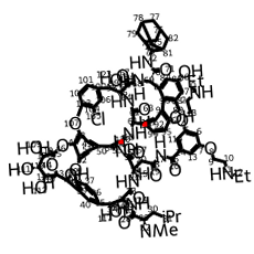 CCNCCOc1cc(OCCNCC)cc(C(=O)NC(=O)C[C@@H]2NC(=O)[C@H](NC(=O)[C@@H](CC(C)C)NC)[C@H](O)c3ccc4c(c3)C(O)[C@H]3O[C@@H](Oc5c6cc(cc5O4)[C@@H](NC2=O)C(=O)N[C@H]2C(=O)N[C@H](C(=O)N[C@H](C(=O)NC4C5CC7CC(C5)CC4C7)c4cc(O)cc(C)c4-c4cc2ccc4O)[C@H](O)c2ccc(c(Cl)c2)O6)[C@H](O)[C@@H](O)[C@@H]3O)c1